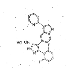 Cl.Cl.Fc1cccc(F)c1-c1n[nH]cc1-c1ccc2ncc(-c3ccccn3)n2c1